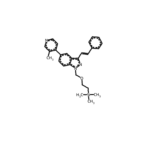 Cc1cnccc1-c1ccc2c(c1)c(/C=C/c1ccccc1)nn2COCC[Si](C)(C)C